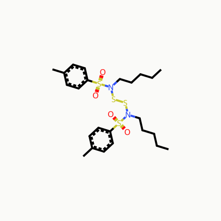 CCCCCN(SSN(CCCCC)S(=O)(=O)c1ccc(C)cc1)S(=O)(=O)c1ccc(C)cc1